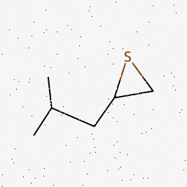 CC(C)CC1CS1